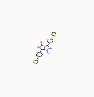 O=C1NC(c2ccc(-c3cccs3)cc2)=C2C(=O)NC(c3ccc(-c4cccs4)cc3)=C12